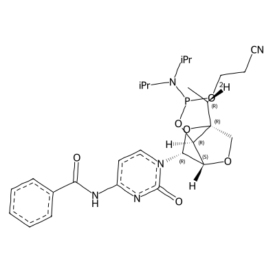 [2H][C@H](C)[C@]12CO[C@H]([C@H](n3ccc(NC(=O)c4ccccc4)nc3=O)O1)[C@H]2OP(OCCC#N)N(C(C)C)C(C)C